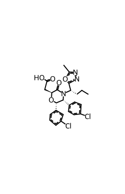 CCC[C@@H](c1nnc(C)o1)N1C(=O)[C@H](CC(=O)O)O[C@@H](c2cccc(Cl)c2)[C@H]1c1ccc(Cl)cc1